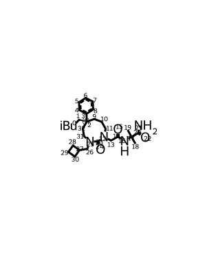 CCC(C)C[C@@]1(c2ccccc2)CCCN(CC(=O)NC(C)(C)C(N)=O)C(=O)N(CC2CCC2)CC1